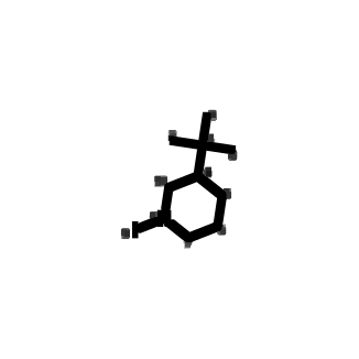 CC(C)(C)C1CCCN(I)C1